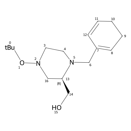 CC(C)(C)ON1CCN(CC2=CCCC=C2)[C@@H](CO)C1